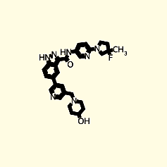 CC1(F)CCN(c2ccc(NC(=O)c3n[nH]c4ccc(-c5cncc(CN6CCC(O)CC6)c5)cc34)cn2)C1